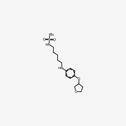 CC(C)(C)S(=O)(=O)NCCCCCNc1ccc(OC2CCOC2)cc1